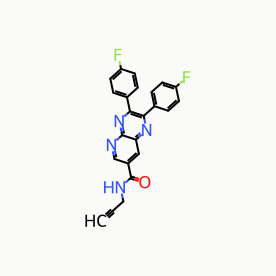 C#CCNC(=O)c1cnc2nc(-c3ccc(F)cc3)c(-c3ccc(F)cc3)nc2c1